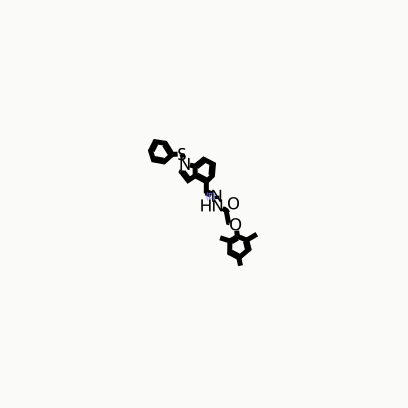 Cc1cc(C)c(OCC(=O)N/N=C/c2cccc3c2ccn3Sc2ccccc2)c(C)c1